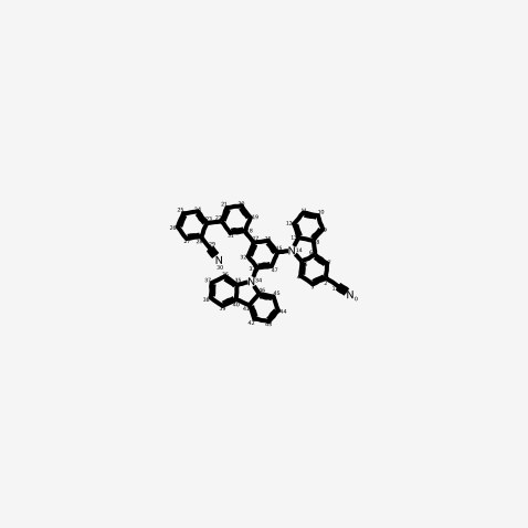 N#Cc1ccc2c(c1)c1ccccc1n2-c1cc(-c2cccc(-c3ccccc3C#N)c2)cc(-n2c3ccccc3c3ccccc32)c1